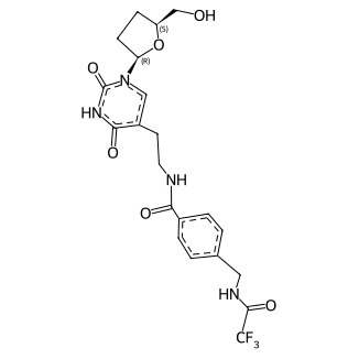 O=C(NCCc1cn([C@H]2CC[C@@H](CO)O2)c(=O)[nH]c1=O)c1ccc(CNC(=O)C(F)(F)F)cc1